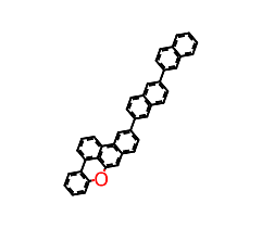 c1ccc2c(c1)Oc1cc3ccc(-c4ccc5cc(-c6ccc7ccccc7c6)ccc5c4)cc3c3cccc-2c13